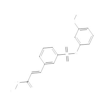 COc1cccc(NS(=O)(=O)c2cccc(C=CC(=O)NO)c2)c1